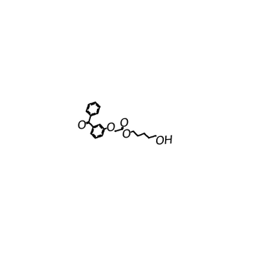 O=C(COc1cccc(C(=O)c2ccccc2)c1)OCCCCCO